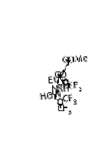 CC[C@@H]1C[C@H](Nc2ncc(O)c(Cc3cc(C(F)(F)F)cc(C(F)(F)F)c3)n2)c2cc(C(F)(F)F)ccc2N1C(=O)OCCCCC(=O)OC